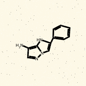 Nc1cnn2cc(-c3ccccc3)[nH]c12